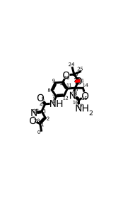 Cc1cc(C(=O)Nc2ccc3c(c2)C2(COC(N)=N2)C2(COC2)C(C)(C)O3)no1